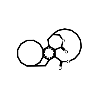 O=C1OCC2CCCCCCCCOC(=O)c3c4c5c(c(c31)C2)CCCCCCCCC(C5)C4